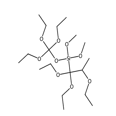 CCOC(C)C(OCC)(OCC)[Si](OC)(OC)OC(OCC)(OCC)OCC